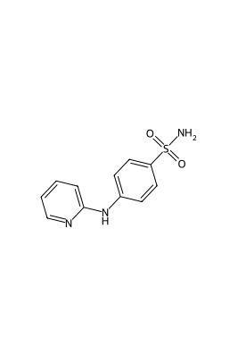 NS(=O)(=O)c1ccc(Nc2ccccn2)cc1